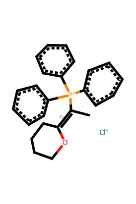 C/C(=C1/CCCCO1)[P+](c1ccccc1)(c1ccccc1)c1ccccc1.[Cl-]